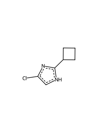 Clc1c[nH]c(C2CCC2)n1